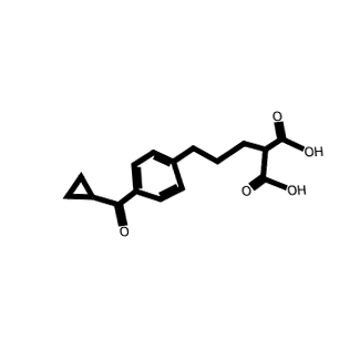 O=C(c1ccc(CCCC(C(=O)O)C(=O)O)cc1)C1CC1